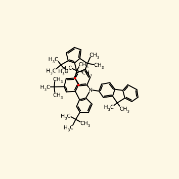 CC(C)(C)c1cc(-c2cc(C(C)(C)C)ccc2N(c2ccc3c(c2)C(C)(C)c2ccccc2-3)c2ccc3c(c2)C(C)(C)c2cccc(C(C)(C)C)c2-3)cc(C(C)(C)C)c1